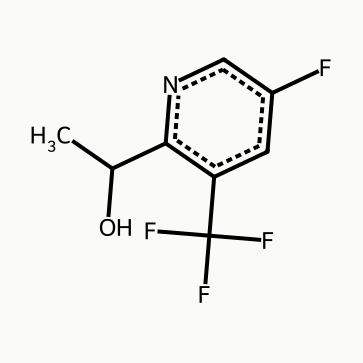 CC(O)c1ncc(F)cc1C(F)(F)F